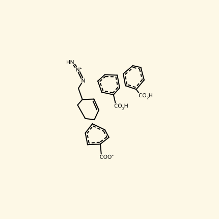 N=[N+]=NCC1C=CCCC1.O=C(O)c1ccccc1.O=C(O)c1ccccc1.O=C([O-])c1ccccc1